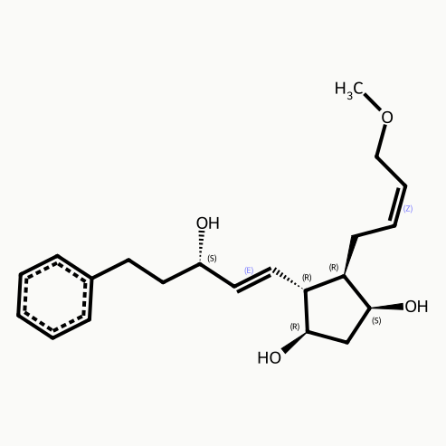 COC/C=C\C[C@@H]1[C@@H](/C=C/[C@@H](O)CCc2ccccc2)[C@H](O)C[C@@H]1O